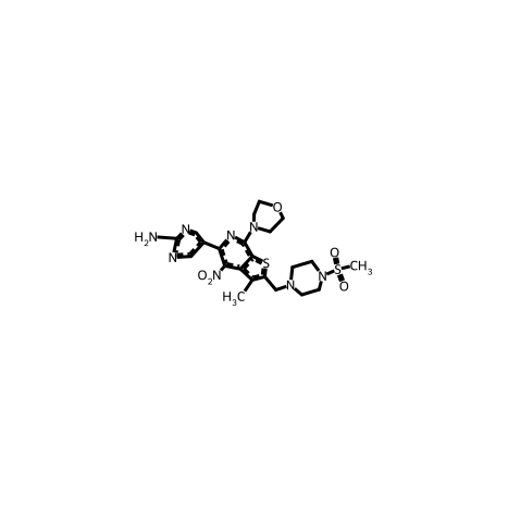 Cc1c(CN2CCN(S(C)(=O)=O)CC2)sc2c(N3CCOCC3)nc(-c3cnc(N)nc3)c([N+](=O)[O-])c12